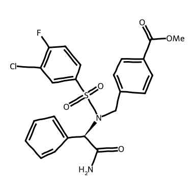 COC(=O)c1ccc(CN([C@@H](C(N)=O)c2ccccc2)S(=O)(=O)c2ccc(F)c(Cl)c2)cc1